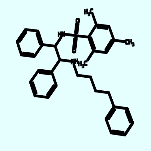 Cc1cc(C)c(S(=O)(=O)NC(c2ccccc2)C(NCCCCc2ccccc2)c2ccccc2)c(C)c1